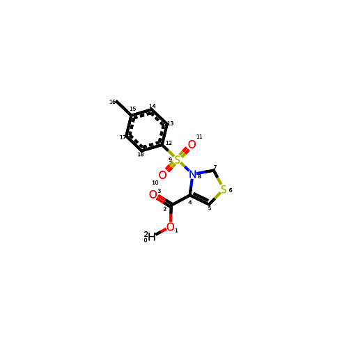 [2H]OC(=O)C1=CSCN1S(=O)(=O)c1ccc(C)cc1